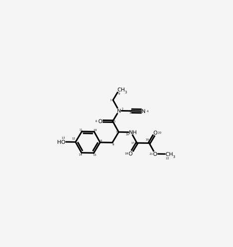 CCN(C#N)C(=O)C(Cc1ccc(O)cc1)NC(=O)C(=O)OC